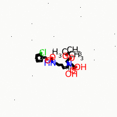 CC(C)(C)OC(=O)CN(CC(=O)O)[C@H](CO)CCCCNC(=O)OCc1ccccc1Cl